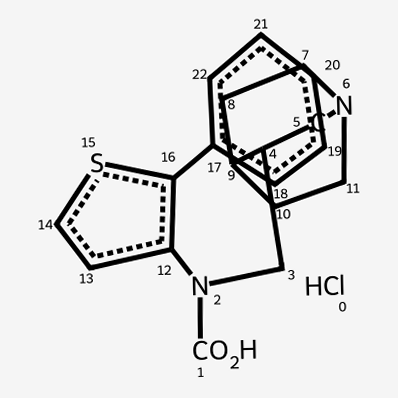 Cl.O=C(O)N(CC1CN2CCC1CC2)c1ccsc1-c1ccccc1